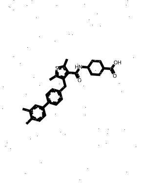 Cc1ccc(-c2ccc(Cc3c(C)sc(C)c3C(=O)NC3CCC(C(=O)O)CC3)cc2)cc1C